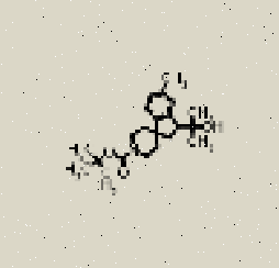 Cc1ccc2c(c1)C(C(C)(C)O)CC21CCN(C(=O)OC(C)(C)C)CC1